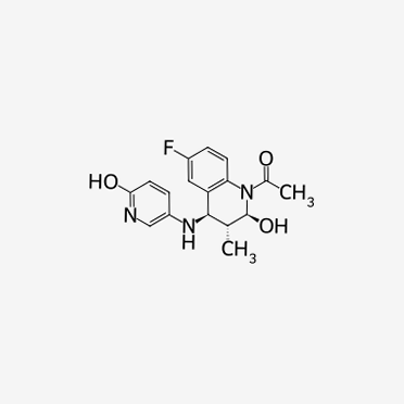 CC(=O)N1c2ccc(F)cc2[C@H](Nc2ccc(O)nc2)[C@@H](C)[C@@H]1O